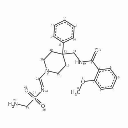 COc1ccccc1C(=O)NCC1(c2ccccc2)CCN(/C=N/S(=O)(=O)CN)CC1